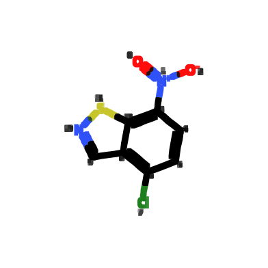 O=[N+]([O-])c1ccc(Cl)c2cnsc12